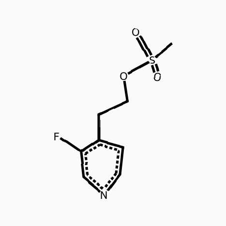 CS(=O)(=O)OCCc1ccncc1F